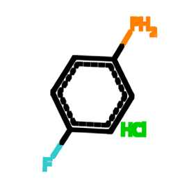 Cl.Fc1ccc(P)cc1